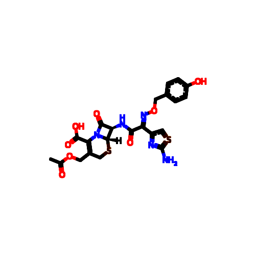 CC(=O)OCC1=C(C(=O)O)N2C(=O)[C@@H](NC(=O)C(=NOCc3ccc(O)cc3)c3csc(N)n3)[C@@H]2SC1